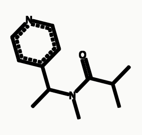 CC(C)C(=O)N(C)C(C)c1ccncc1